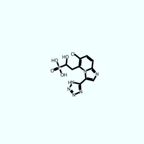 O=P(O)(O)C(O)Cc1c(Cl)ccc2ncc(-c3nnn[nH]3)n12